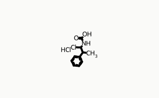 CC(c1ccccc1)C(Cl)NC(=O)O.Cl